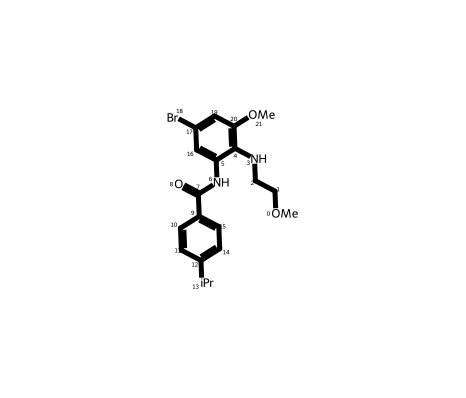 COCCNc1c(NC(=O)c2ccc(C(C)C)cc2)cc(Br)cc1OC